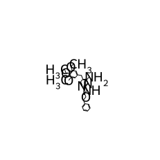 COc1cc(Cc2cnc(NCOCc3ccccc3)nc2N)cc(OC)c1OC